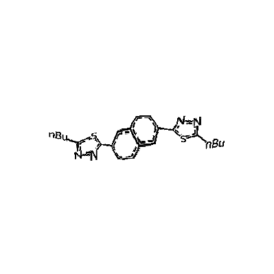 CCCCc1nnc(-c2ccc3cc(-c4nnc(CCCC)s4)ccc3c2)s1